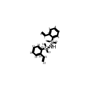 C=Cc1ccccc1[Si](C)(C)N[Si](C)(C)c1ccccc1C=C